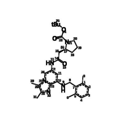 Cc1cccc(C)c1CNc1cc(NC(=O)C[C@@H]2CCCN2C(=O)OC(C)(C)C)cn2c(C)c(C)nc12